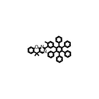 Cc1ccc(-c2c(-c3ccccc3)c(-c3ccccc3)c(-c3ccccc3)c(-c3ccccc3)c2-c2ccccc2)cc1-c1ncc2c(n1)Oc1ccccc1C2(C)C